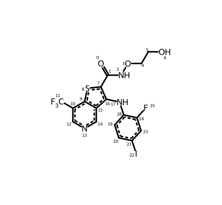 O=C(NOCCO)c1sc2c(C(F)(F)F)cncc2c1Nc1ccc(I)cc1F